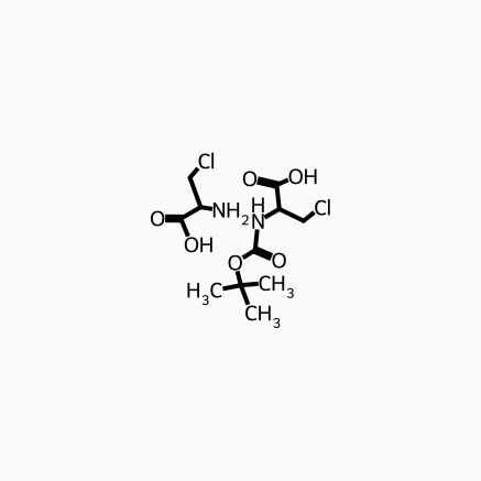 CC(C)(C)OC(=O)NC(CCl)C(=O)O.NC(CCl)C(=O)O